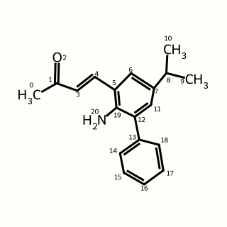 CC(=O)/C=C/c1cc(C(C)C)cc(-c2ccccc2)c1N